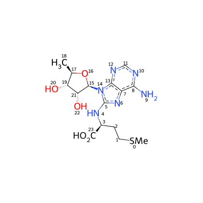 CSCC[C@H](Nc1nc2c(N)ncnc2n1[C@@H]1O[C@H](C)[C@@H](O)[C@H]1O)C(=O)O